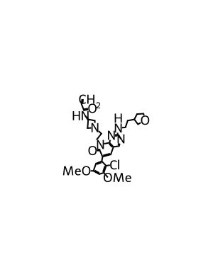 C=CC(=O)NC1CN(CCn2c(=O)c(-c3cc(OC)cc(OC)c3Cl)cc3cnc(NCCC4CCOC4)nc32)C1